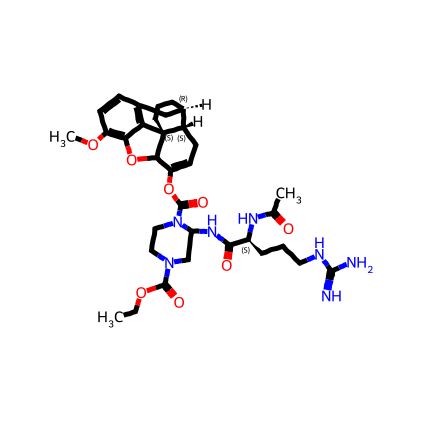 CCOC(=O)N1CCN(C(=O)OC2=CC[C@H]3[C@@H]4CCC[C@@]35c3c(ccc(OC)c3OC25)C4)C(NC(=O)[C@H](CCCNC(=N)N)NC(C)=O)C1